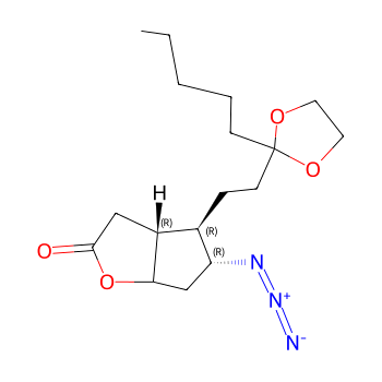 CCCCCC1(CC[C@H]2[C@H](N=[N+]=[N-])CC3OC(=O)C[C@@H]32)OCCO1